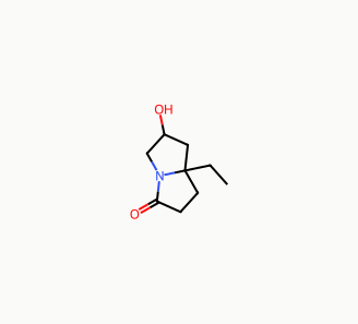 CCC12CCC(=O)N1CC(O)C2